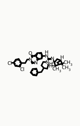 C[C@H]1C2C[C@@H](C[C@@H]1/N=C(/Nc1ccc3c(=O)n(CCc4ccc(Cl)cc4Cl)cnc3c1)N1CCC(Cc3ccccc3)CC1)C2(C)C